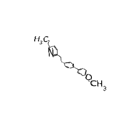 CCCc1ccc(CCc2ccc(-c3ccc(OCC)cc3)cc2)cn1